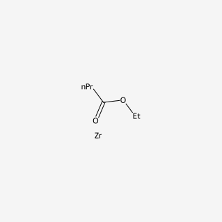 CCCC(=O)OCC.[Zr]